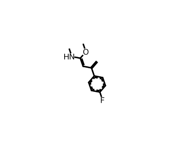 C=C(/C=C(/NC)OC)c1ccc(F)cc1